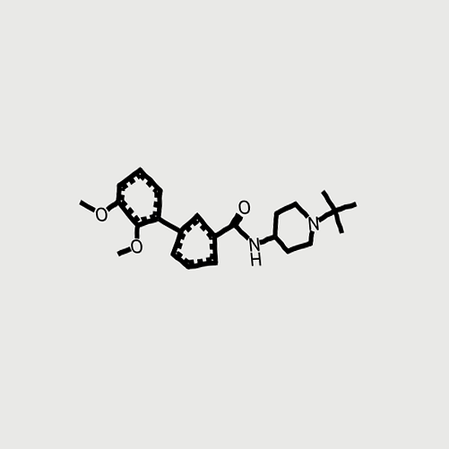 COc1cccc(-c2cccc(C(=O)NC3CCN(C(C)(C)C)CC3)c2)c1OC